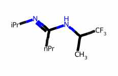 CCC/C(=N\C(C)C)NC(C)C(F)(F)F